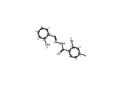 Cc1ccc(C(=O)N/N=C/c2ccccc2O)c(Br)c1